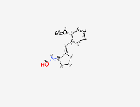 COc1ccccc1C=C1CCCC1=NO